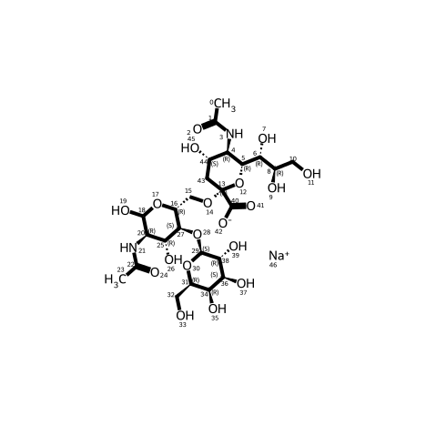 CC(=O)N[C@H]1[C@H]([C@H](O)[C@H](O)CO)O[C@@](OC[C@H]2OC(O)[C@H](NC(C)=O)[C@@H](O)[C@@H]2O[C@@H]2O[C@H](CO)[C@H](O)[C@H](O)[C@H]2O)(C(=O)[O-])C[C@@H]1O.[Na+]